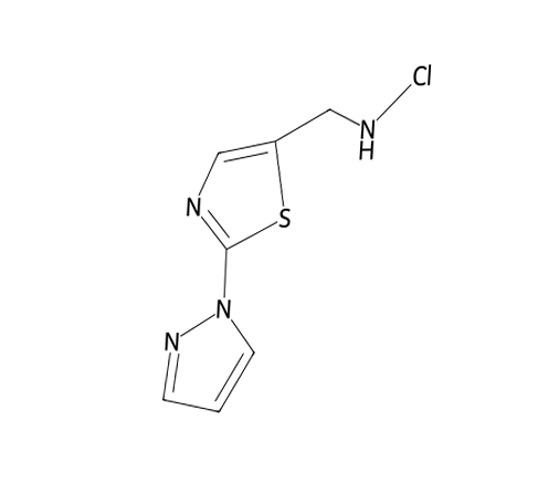 ClNCc1cnc(-n2cccn2)s1